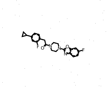 O=C(Cc1ccc(C2CC2)cc1F)N1CCN(c2nc3ccc(F)cc3o2)CC1